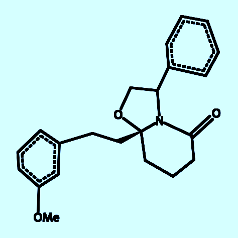 COc1cccc(CC[C@]23CCCC(=O)N2C(c2ccccc2)CO3)c1